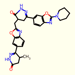 CC1CC(=O)NN=C1c1ccc2nc(CC3CC(c4ccc5nc(N6CCCCC6)oc5c4)=NNC3=O)oc2c1